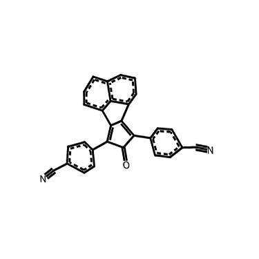 N#Cc1ccc(C2=C3C(=C(c4ccc(C#N)cc4)C2=O)c2cccc4cccc3c24)cc1